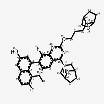 CCc1c(F)ccc2cc(O)cc(-c3c(F)cc4c(N5CC6CCC(C5)N6)nc(OCCCN5C6CCC5OC6)nc4c3F)c12